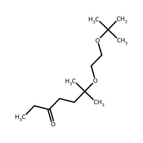 CCC(=O)CCC(C)(C)OCCOC(C)(C)C